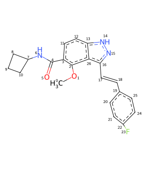 COc1c(C(=O)NC2CCC2)ccc2[nH]nc(/C=C/c3ccc(F)cc3)c12